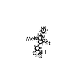 CCOc1cc(-c2ccc3c(c2)NC(=O)CO3)cc2c(NC)nc(-c3cccnc3)nc12